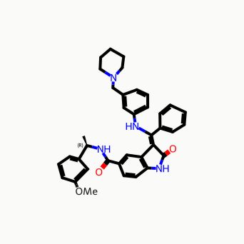 COc1cccc([C@@H](C)NC(=O)c2ccc3c(c2)C(=C(Nc2cccc(CN4CCCCC4)c2)c2ccccc2)C(=O)N3)c1